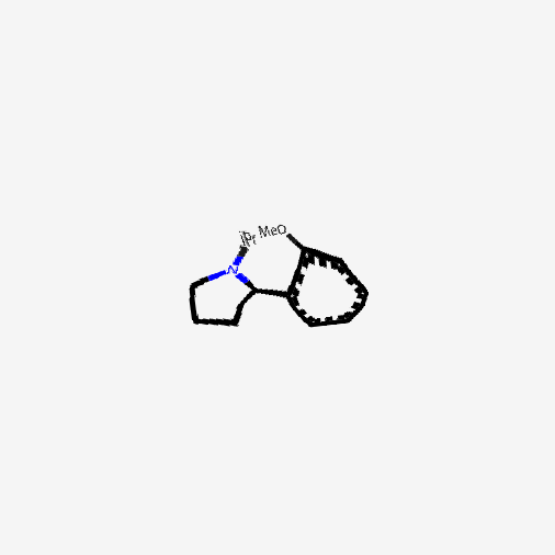 COc1ccccc1C1CCCN1C(C)C